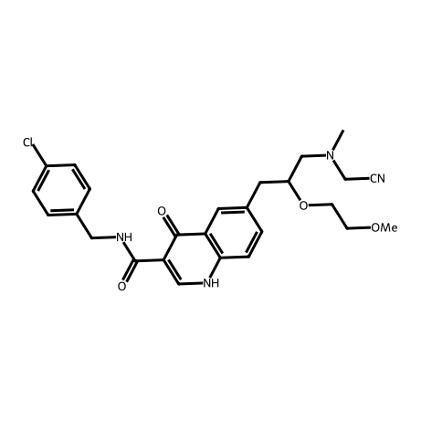 COCCOC(Cc1ccc2[nH]cc(C(=O)NCc3ccc(Cl)cc3)c(=O)c2c1)CN(C)CC#N